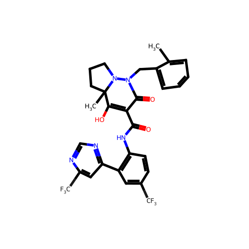 Cc1ccccc1CN1C(=O)C(C(=O)Nc2ccc(C(F)(F)F)cc2-c2cc(C(F)(F)F)ncn2)=C(O)C2(C)CCCN12